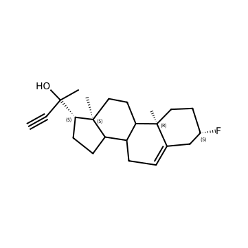 C#CC(C)(O)[C@H]1CCC2C3CC=C4C[C@@H](F)CC[C@]4(C)C3CC[C@@]21C